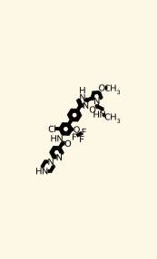 CNCC(=O)N1CC(OC)CC1c1nc(-c2ccc(-c3cc(Cl)c(NC(=O)c4ccc(N5CCNCC5)nc4)cc3OC(F)(F)F)cc2)c[nH]1